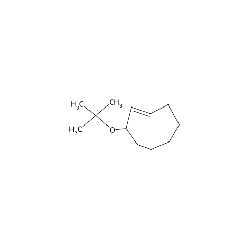 CC(C)(C)OC1/C=C/CCCCC1